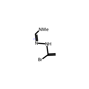 C=C(Br)N/N=C\NC